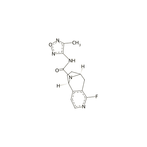 Cc1nonc1NC(=O)N1[C@H]2CC[C@@H]1c1ccnc(F)c1C2